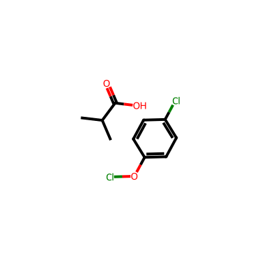 CC(C)C(=O)O.ClOc1ccc(Cl)cc1